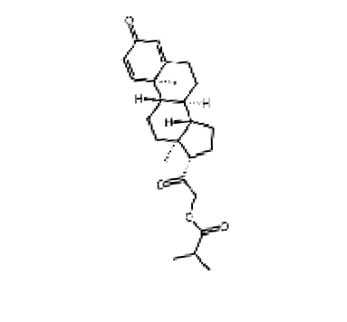 CC(C)C(=O)OCC(=O)[C@H]1CC[C@H]2[C@@H]3CCC4=CC(=O)C=C[C@]4(C)[C@H]3CC[C@]12C